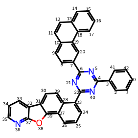 c1ccc(-c2nc(-c3ccc4ccc5ccccc5c4c3)nc(-c3cccc4c3ccc3c5cccnc5oc43)n2)cc1